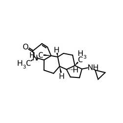 CN1C(=O)C=C[C@@]2(C)C1CC[C@@H]1[C@H]2CC[C@]2(C)C(NC3CC3)CC[C@@H]12